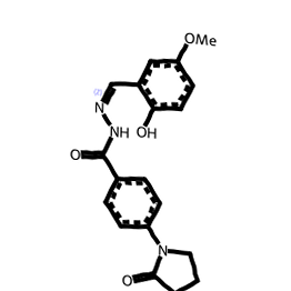 COc1ccc(O)c(/C=N\NC(=O)c2ccc(N3CCCC3=O)cc2)c1